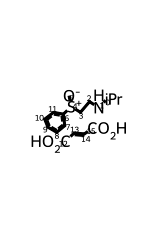 CC(C)NCC[S+]([O-])c1ccccc1.O=C(O)C=CC(=O)O